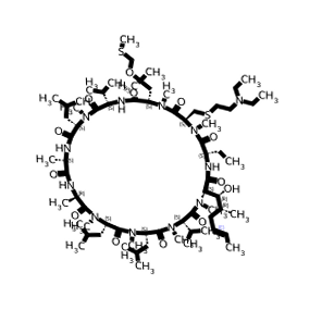 C/C=C/C[C@@H](C)[C@@H](O)[C@H]1C(=O)N[C@@H](CC)C(=O)N(C)[C@H](CSCCN(CC)CC)C(=O)N(C)[C@@H](CC(C)(C)OCSC)C(=O)N[C@@H](C(C)C)C(=O)N(C)[C@@H](CC(C)C)C(=O)N[C@@H](C)C(=O)N[C@H](C)C(=O)N(C)[C@@H](CC(C)C)C(=O)N(C)[C@@H](CC(C)C)C(=O)N(C)[C@@H](C(C)C)C(=O)N1C